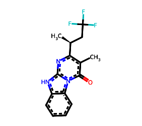 Cc1c([C@@H](C)CC(F)(F)F)nc2[nH]c3ccccc3n2c1=O